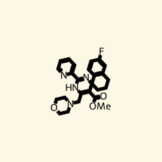 COC(=O)C1=C(CN2CCOCC2)NC(c2ccccn2)=NC12CCCc1cc(F)ccc12